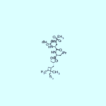 CC(C)C[C@H](NC(=O)[C@H](CNS(C)(=O)=O)NC(=O)OC(C)(C)C)B1OC[C@@H](C[C@@H]2C[C@H](C)C2(C)C)O1